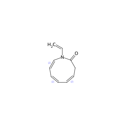 C=CN1\C=C/C=C\C=C/CC1=O